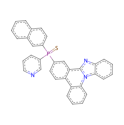 S=P(c1cccnc1)(c1ccc2ccccc2c1)c1ccc2c3ccccc3n3c4ccccc4nc3c2c1